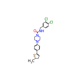 CC1CC=C(c2ccc(N3CCN(C(=O)NCc4ccc(Cl)c(Cl)c4)CC3)cc2)S1